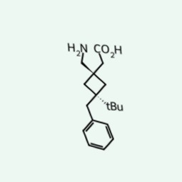 CC(C)(C)[C@]1(Cc2ccccc2)C[C@](CN)(CC(=O)O)C1